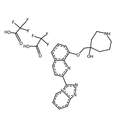 O=C(O)C(F)(F)F.O=C(O)C(F)(F)F.OC1(COc2cccc3ccc(-c4nnc5ccccn45)nc23)CCCNCC1